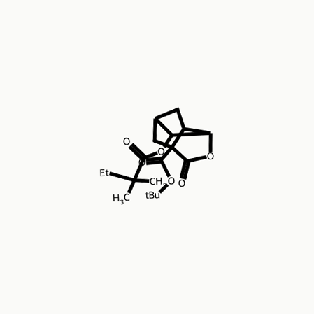 CCC(C)(C)C(=O)OC1C2CC3C1OC(=O)C3(C(=O)OC(C)(C)C)C2